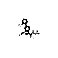 CC(C)Cn1cc(C(NSN(C)C)C(F)(F)F)c2ccc(-c3ccccc3C(F)(F)F)cc21